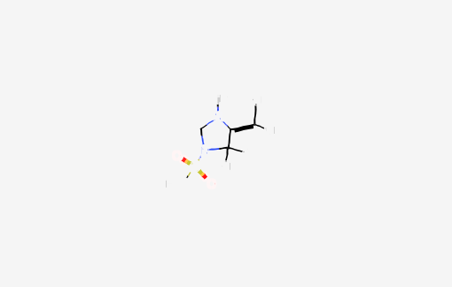 CC(C)=C1N(C(C)C)CN(S(C)(=O)=O)C1(C)C